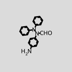 Nc1ccc(N(C=O)N(c2ccccc2)c2ccccc2)cc1